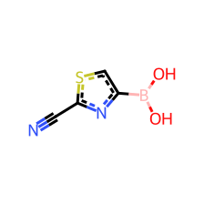 N#Cc1nc(B(O)O)cs1